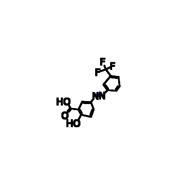 O=C(O)c1cc(/N=N/c2cccc(C(F)(F)F)c2)ccc1O